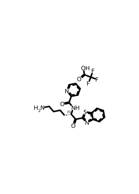 NCCCC[C@H](NC(=O)c1ccccn1)C(=O)c1nc2ccccc2s1.O=C(O)C(F)(F)F